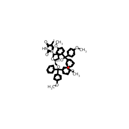 COc1ccc(C(OC[C@H]2O[C@@H](n3cc(I)c(=O)[nH]c3=O)C[C@@H]2OC(c2ccccc2)(c2ccc(OC)cc2)c2ccc(OC)cc2)(c2ccccc2)c2ccc(OC)cc2)cc1